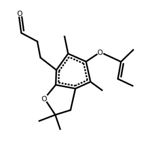 CC=C(C)Oc1c(C)c(CCC=O)c2c(c1C)CC(C)(C)O2